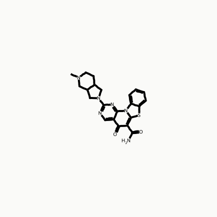 CN1CCC2CN(c3ncc4c(=O)c(C(N)=O)c5sc6ccccc6n5c4n3)CC2C1